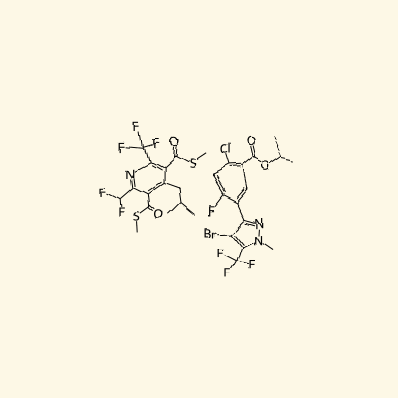 CC(C)OC(=O)c1cc(-c2nn(C)c(C(F)(F)F)c2Br)c(F)cc1Cl.CSC(=O)c1c(C(F)F)nc(C(F)(F)F)c(C(=O)SC)c1CC(C)C